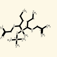 C=C(C)COC(CCC)[Si](C)(O[Si](C)(C)C)C(CCC)OCC(=C)C